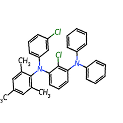 Cc1cc(C)c(N(c2cccc(Cl)c2)c2cccc(N(c3ccccc3)c3ccccc3)c2Cl)c(C)c1